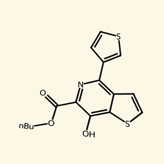 CCCCOC(=O)c1nc(-c2ccsc2)c2ccsc2c1O